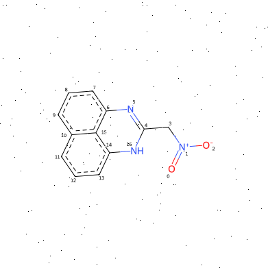 O=[N+]([O-])CC1=Nc2cccc3cccc(c23)N1